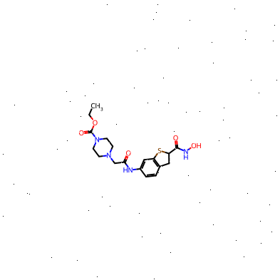 CCOC(=O)N1CCN(CC(=O)Nc2ccc3c(c2)SC(C(=O)NO)C3)CC1